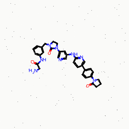 NCC(=O)Nc1cccc(CN2CCN(c3cncc(Nc4ccc(-c5ccc(N6CCCC6=O)cc5)cn4)c3)C2=O)c1